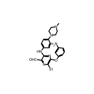 CCc1nc(C=O)c(Nc2ccc(N3CCN(C)CC3)cc2)nc1Oc1cccc(N)c1